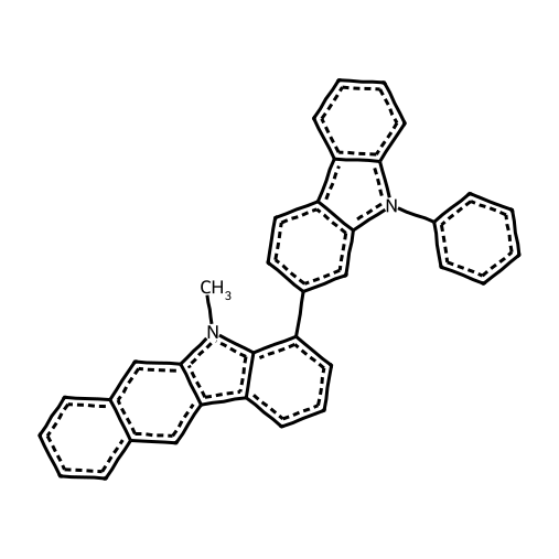 Cn1c2cc3ccccc3cc2c2cccc(-c3ccc4c5ccccc5n(-c5ccccc5)c4c3)c21